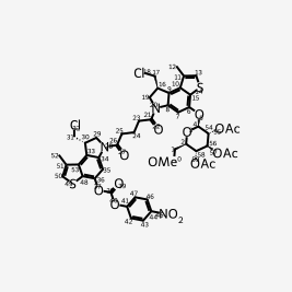 COC[C@H]1O[C@@H](Oc2cc3c(c4c(C)csc24)[C@H](CCl)CN3C(=O)CCCC(=O)N2C[C@@H](CCl)c3c2cc(OC(=O)Oc2ccc([N+](=O)[O-])cc2)c2scc(C)c32)[C@H](OC(C)=O)[C@@H](OC(C)=O)[C@@H]1OC(C)=O